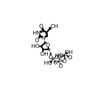 C#Cc1cn([C@@H]2O[C@H](COP(=O)(O)OP(=O)(O)OP(=O)(O)O)C(O)C2O)c(=O)[nH]c1=O